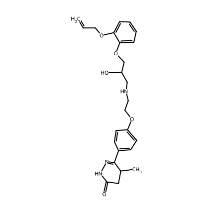 C=CCOc1ccccc1OCC(O)CNCCOc1ccc(C2=NNC(=O)CC2C)cc1